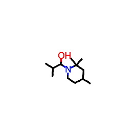 CC1CCN(C(O)C(C)C)C(C)(C)C1